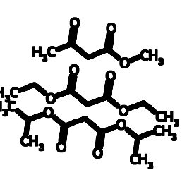 CC(C)OC(=O)CC(=O)OC(C)C.CCOC(=O)CC(=O)OCC.COC(=O)CC(C)=O